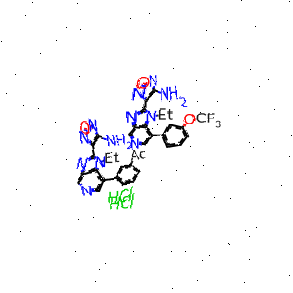 CCn1c(-c2nonc2N)nc2cncc(-c3cccc(C(C)=O)c3)c21.CCn1c(-c2nonc2N)nc2cncc(-c3cccc(OC(F)(F)F)c3)c21.Cl.Cl